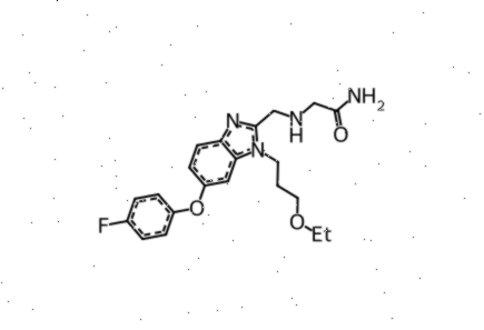 CCOCCCn1c(CNCC(N)=O)nc2ccc(Oc3ccc(F)cc3)cc21